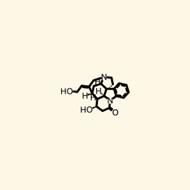 O=C1C[C@@H](O)[C@H]2[C@@H]3N1c1ccccc1[C@@]31CCN3C/C(=C/CO)[C@@H]2C[C@H]31